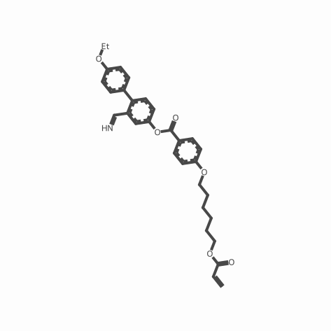 C=CC(=O)OCCCCCCOc1ccc(C(=O)Oc2ccc(-c3ccc(OCC)cc3)c(C=N)c2)cc1